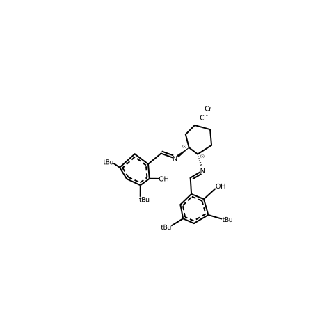 CC(C)(C)c1cc(C=N[C@H]2CCCC[C@@H]2N=Cc2cc(C(C)(C)C)cc(C(C)(C)C)c2O)c(O)c(C(C)(C)C)c1.[Cl-].[Cr]